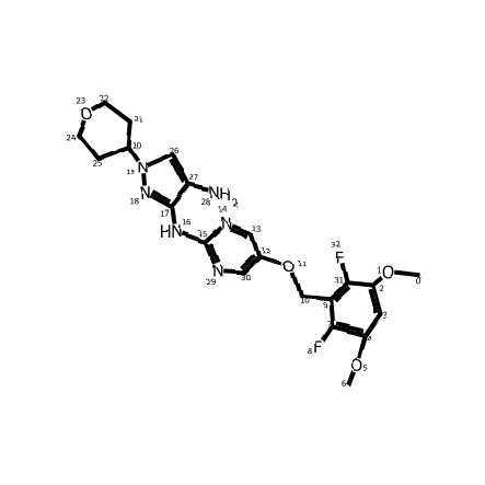 COc1cc(OC)c(F)c(COc2cnc(Nc3nn(C4CCOCC4)cc3N)nc2)c1F